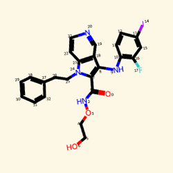 O=C(NOCCO)c1c(Nc2ccc(I)cc2F)c2cnccc2n1CCc1ccccc1